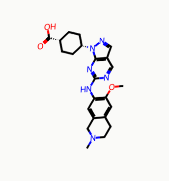 COc1cc2c(cc1Nc1ncc3cnn([C@H]4CC[C@@H](C(=O)O)CC4)c3n1)CN(C)CC2